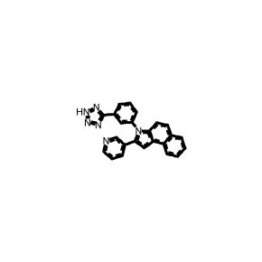 c1cncc(-c2cc3c4ccccc4ccc3n2-c2cccc(-c3nn[nH]n3)c2)c1